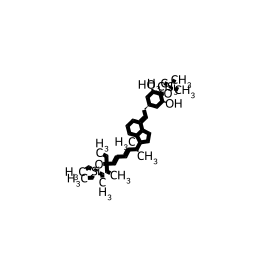 CCC(/C=C/C=C/[C@@H](C)C1CCC2/C(=C/C[C@H]3C[C@@H](O)[C@@](C)(O[Si](C)(C)C)[C@H](O)C3)CCCC21C)(CC)O[Si](CC)(CC)CC